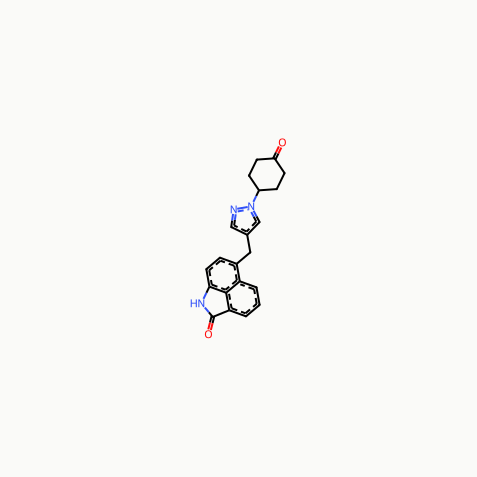 O=C1CCC(n2cc(Cc3ccc4c5c(cccc35)C(=O)N4)cn2)CC1